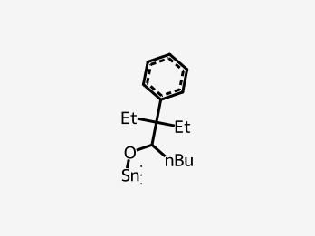 CCCCC([O][Sn])C(CC)(CC)c1ccccc1